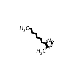 CCCCCCCC1=C(C)P=P[N]1